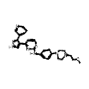 COCCN1CCN(c2ccc(Nc3nccc(-c4c[nH]nc4-c4cccnc4)n3)cc2)CC1